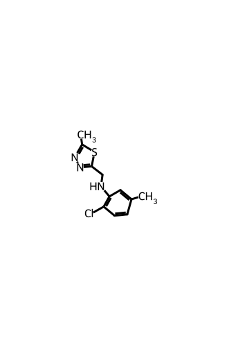 Cc1ccc(Cl)c(NCc2nnc(C)s2)c1